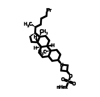 CCCCCCS(=O)(=O)OC1CN(C2CC[C@@]3(C)C(CC[C@H]4[C@@H]5CC[C@H]([C@H](C)CCCC(C)C)[C@@]5(C)CC[C@@H]43)C2)C1